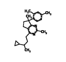 C[C](CCc1nc(C)nc2c1CCC2(C)c1ccc(C)cc1C)C1CC1